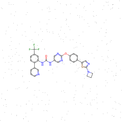 O=C(Nc1cnc(Oc2ccc(-c3cnc(N4CCC4)s3)cc2)nc1)Nc1cc(C(F)(F)F)ccc1-c1cccnc1